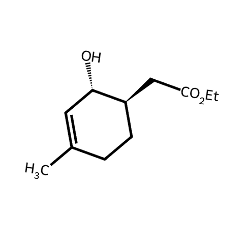 CCOC(=O)C[C@H]1CCC(C)=C[C@@H]1O